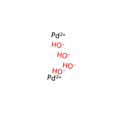 [OH-].[OH-].[OH-].[OH-].[Pd+2].[Pd+2]